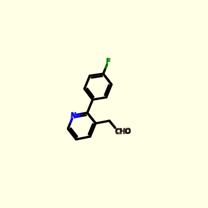 O=CCc1cccnc1-c1ccc(F)cc1